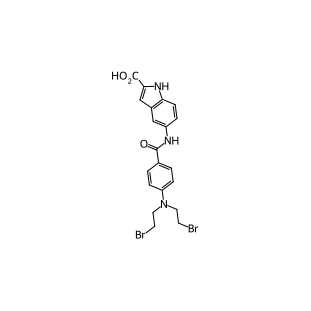 O=C(Nc1ccc2[nH]c(C(=O)O)cc2c1)c1ccc(N(CCBr)CCBr)cc1